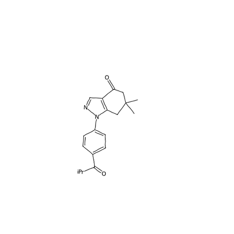 CC(C)C(=O)c1ccc(-n2ncc3c2CC(C)(C)CC3=O)cc1